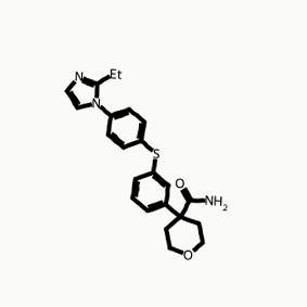 CCc1nccn1-c1ccc(Sc2cccc(C3(C(N)=O)CCOCC3)c2)cc1